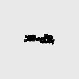 OC1c2cc(/C=C/c3ccc4cc(F)c(Cl)cc4n3)ccc2C=Cc2c1cccc2C(F)(F)F